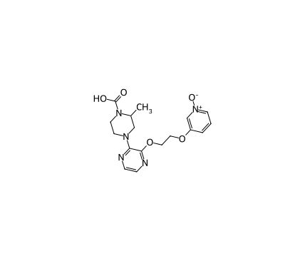 CC1CN(c2nccnc2OCCOc2ccc[n+]([O-])c2)CCN1C(=O)O